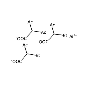 CC(=O)C(C(C)=O)C(=O)[O-].CCC(C(C)=O)C(=O)[O-].CCC(C(C)=O)C(=O)[O-].[Al+3]